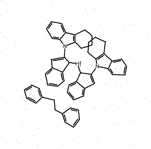 C1=C(n2c3c(c4ccccc42)CCCC3)[CH]([Hf][CH]2C(n3c4c(c5ccccc53)CCCC4)=Cc3ccccc32)c2ccccc21.c1ccc(CCc2ccccc2)cc1